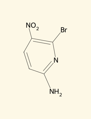 Nc1ccc([N+](=O)[O-])c(Br)n1